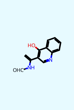 C=C(NC=O)c1cnc2ccccc2c1O